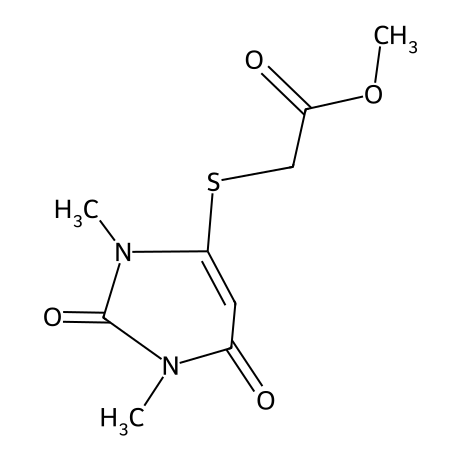 COC(=O)CSc1cc(=O)n(C)c(=O)n1C